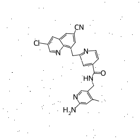 Cc1cc(N)ncc1CNC(=O)c1ccnc(Cc2cc(C#N)cc3cc(Cl)cnc23)c1